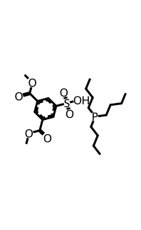 CCCCP(CCCC)CCCC.COC(=O)c1cc(C(=O)OC)cc(S(=O)(=O)O)c1